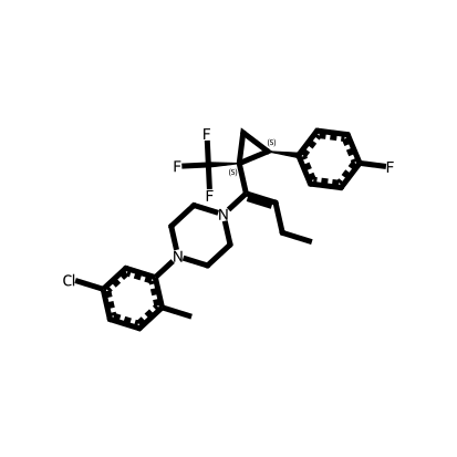 CCC=C(N1CCN(c2cc(Cl)ccc2C)CC1)[C@]1(C(F)(F)F)C[C@H]1c1ccc(F)cc1